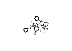 CS(=O)(=O)N1CCCCC1CN1C(=O)c2ccccc2C(C(=O)NOCc2ccccc2)C1c1ccc(Cl)cc1